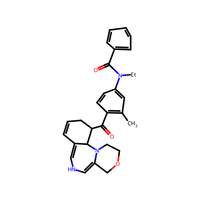 CCN(C(=O)c1ccccc1)c1ccc(C(=O)C2CC=CC3=CNC=C4COCCN4C32)c(C)c1